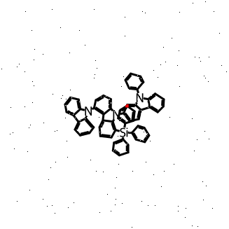 c1ccc(-n2c3ccccc3c3ccc(-n4c5cccc(-n6c7ccccc7c7ccccc76)c5c5cccc([Si](c6ccccc6)(c6ccccc6)c6ccccc6)c54)cc32)cc1